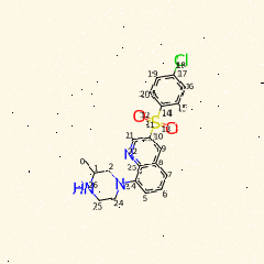 CC1CN(c2cccc3cc(S(=O)(=O)c4ccc(Cl)cc4)cnc23)CCN1